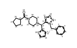 C[C@@H](c1ccccc1)n1nnnc1[C@@H](c1cccs1)N1CCN(C(=O)C2CCCC2)CC1